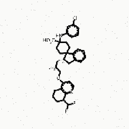 C[C@@H](COc1ccnc2c1CCCC2C(F)F)C[C@H]1Cc2ccccc2C12CCC(Nc1cccc(Cl)c1)(C(=O)O)CC2